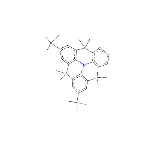 CC(C)(C)c1cc2c3c(c1)C(C)(C)c1cc(C(C)(C)C)cc4c1N3c1c(cccc1C4(C)C)C2(C)C